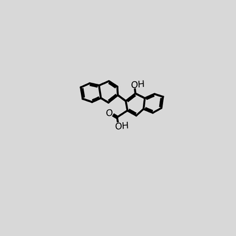 O=C(O)c1cc2ccccc2c(O)c1-c1ccc2ccccc2c1